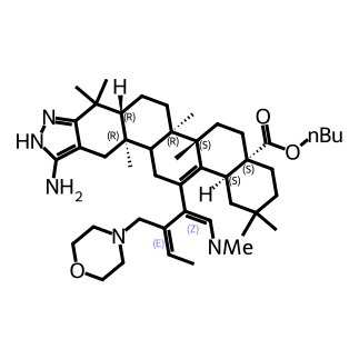 C/C=C(CN1CCOCC1)\C(=C/NC)C1=C2[C@@H]3CC(C)(C)CC[C@]3(C(=O)OCCCC)CC[C@@]2(C)[C@]2(C)CC[C@H]3C(C)(C)c4n[nH]c(N)c4C[C@]3(C)C2C1